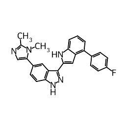 Cc1ncc(-c2ccc3[nH]nc(-c4cc5c(-c6ccc(F)cc6)cccc5[nH]4)c3c2)n1C